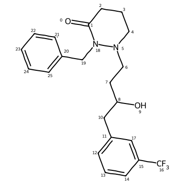 O=C1CCCN(CCC(O)Cc2cccc(C(F)(F)F)c2)N1Cc1[c]cccc1